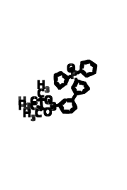 CC1(C)OB(c2cccc(-c3cccc(P(=O)(c4ccccc4)c4ccccc4)c3)c2)OC1(C)C